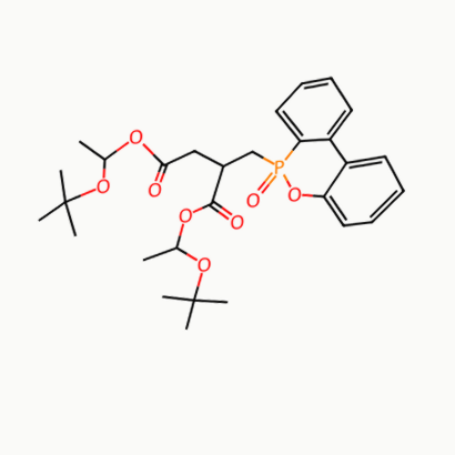 CC(OC(=O)CC(CP1(=O)Oc2ccccc2-c2ccccc21)C(=O)OC(C)OC(C)(C)C)OC(C)(C)C